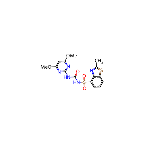 COc1cc(OC)nc(NC(=O)NS(=O)(=O)c2cccc3sc(C)nc23)n1